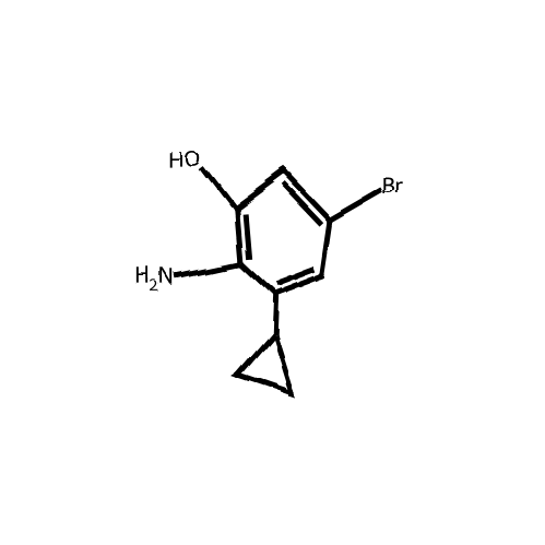 Nc1c(O)cc(Br)cc1C1CC1